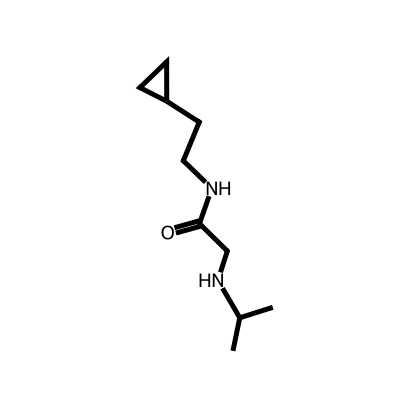 CC(C)NCC(=O)NCCC1CC1